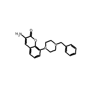 Nc1cc2cccc(N3CCN(Cc4ccccc4)CC3)c2oc1=O